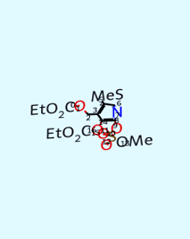 CCOC(=O)OCc1c(SC)cnc(OS(=O)(=O)OC)c1OC(=O)OCC